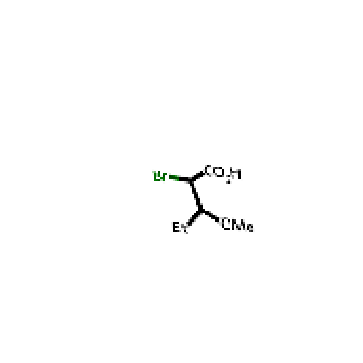 CCC(OC)C(Br)C(=O)O